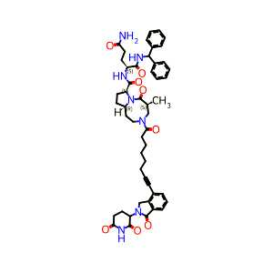 C[C@H]1CN(C(=O)CCCCCC#Cc2cccc3c2CN(C2CCC(=O)NC2=O)C3=O)CC[C@H]2CC[C@@H](C(=O)N[C@@H](CCC(N)=O)C(=O)NC(c3ccccc3)c3ccccc3)N2C1=O